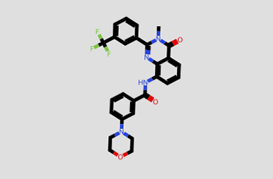 Cn1c(-c2cccc(C(F)(F)F)c2)nc2c(NC(=O)c3cccc(N4CCOCC4)c3)cccc2c1=O